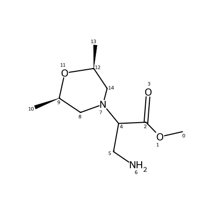 COC(=O)C(CN)N1C[C@@H](C)O[C@@H](C)C1